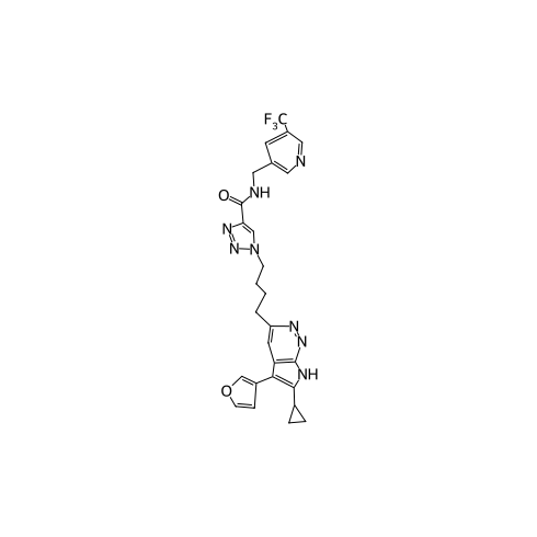 O=C(NCc1cncc(C(F)(F)F)c1)c1cn(CCCCc2cc3c(-c4ccoc4)c(C4CC4)[nH]c3nn2)nn1